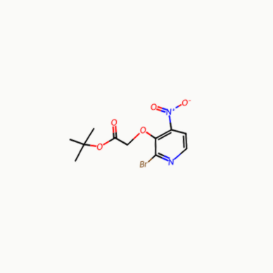 CC(C)(C)OC(=O)COc1c([N+](=O)[O-])ccnc1Br